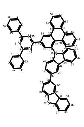 c1ccc(-c2nc(-c3ccccc3)nc(-c3cc(-n4c5ccccc5c5cc(-c6ccc7sc8ccccc8c7c6)ccc54)c4c5ccccc5c5ccccc5c4c3)n2)cc1